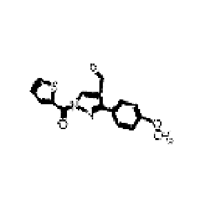 COc1ccc(-c2nn(C(=O)c3cccs3)cc2C=O)cc1